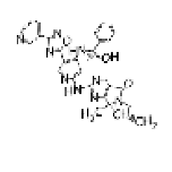 C=CCN1C(=O)c2cnc(Nc3cc(N[C@H](CO)c4ccccc4)c(-c4nc(-c5cccnc5)no4)cn3)nc2C1(C)C